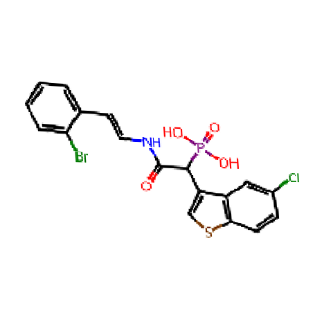 O=C(NC=Cc1ccccc1Br)C(c1csc2ccc(Cl)cc12)P(=O)(O)O